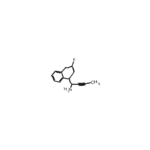 CC#CC(N)C1CC(F)Cc2ccccc21